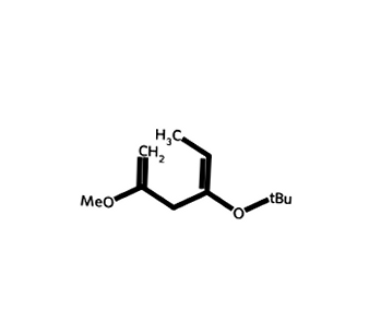 C=C(CC(=CC)OC(C)(C)C)OC